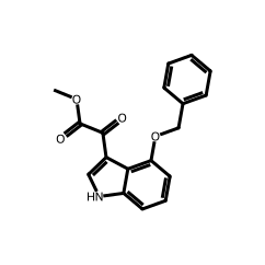 COC(=O)C(=O)c1c[nH]c2cccc(OCc3ccccc3)c12